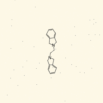 c1ccc2c(c1)CN(CCN1Cc3ccccc3C1)C2